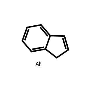 C1=Cc2ccccc2C1.[Al]